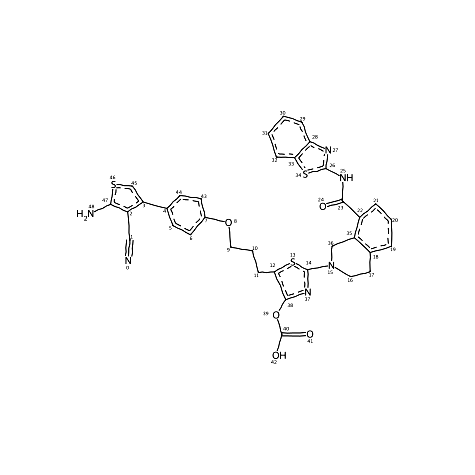 N#Cc1c(-c2ccc(OCCCc3sc(N4CCc5cccc(C(=O)Nc6nc7ccccc7s6)c5C4)nc3OC(=O)O)cc2)csc1N